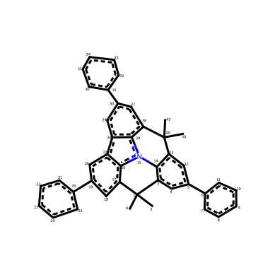 CC1(C)c2cc(-c3ccccc3)cc3c2-n2c4c1cc(-c1ccccc1)cc4c1cc(-c4ccccc4)cc(c12)C3(C)C